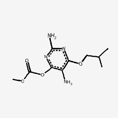 COC(=O)Oc1nc(N)nc(OCC(C)C)c1N